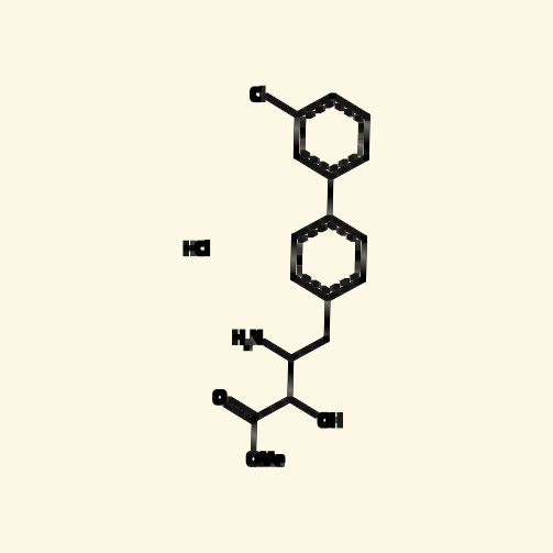 COC(=O)C(O)C(N)Cc1ccc(-c2cccc(Cl)c2)cc1.Cl